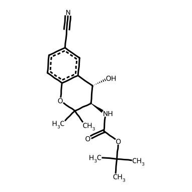 CC(C)(C)OC(=O)N[C@@H]1[C@@H](O)c2cc(C#N)ccc2OC1(C)C